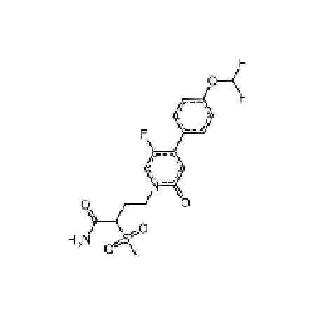 CS(=O)(=O)C(CCn1cc(F)c(-c2ccc(OC(F)F)cc2)cc1=O)C(N)=O